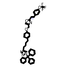 FC(F)(F)Oc1ccc(/C=C/c2nc(COc3ccc(CCCCc4cn(C(c5ccccc5)(c5ccccc5)c5ccccc5)nn4)cc3)co2)cc1